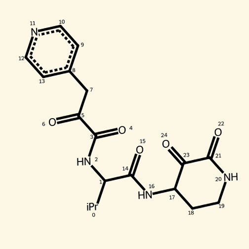 CC(C)C(NC(=O)C(=O)Cc1ccncc1)C(=O)NC1CCNC(=O)C1=O